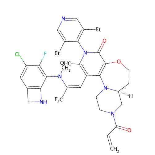 C=CC(=O)N1CCN2c3c(/C=C(\N(C)c4c(F)c(Cl)cc5c4NC5)C(F)(F)F)c(C=O)n(-c4c(CC)cncc4CC)c(=O)c3OCC[C@H]2C1